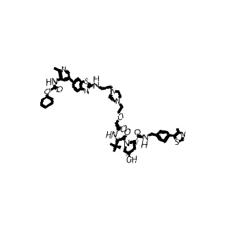 Cc1ncc(-c2ccc3nc(NCCN4CCN(CCOCC(=O)N[C@H](C(=O)N5C[C@H](O)C[C@H]5C(=O)NCc5ccc(-c6scnc6C)cc5)C(C)(C)C)CC4)sc3c2)cc1NC(=O)OC1CCCCC1